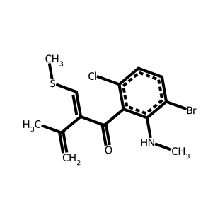 C=C(C)/C(=C\SC)C(=O)c1c(Cl)ccc(Br)c1NC